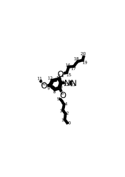 CCCCCCOc1cc(OC)cc(OCCCCCC)c1[N+]#N